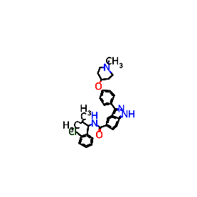 CC(C)C(NC(=O)c1ccc2[nH]nc(-c3ccc(OC4CCN(C)CC4)cc3)c2c1)c1ccccc1Cl